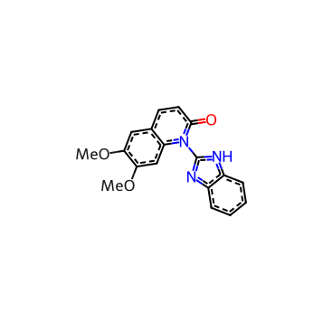 COc1cc2ccc(=O)n(-c3nc4ccccc4[nH]3)c2cc1OC